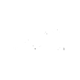 CC/C(=N/OC)NC